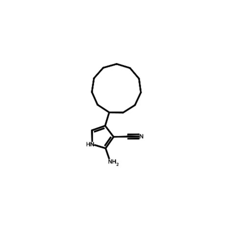 N#Cc1c(C2CCCCCCCCCC2)c[nH]c1N